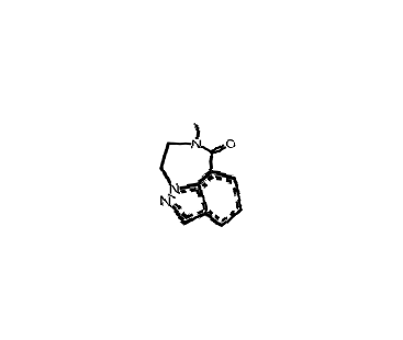 CN1CCn2ncc3cccc(c32)C1=O